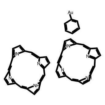 C1=Cc2cc3ccc(cc4nc(cc5ccc(cc1n2)[nH]5)C=C4)[nH]3.C1=Cc2cc3ccc(cc4nc(cc5ccc(cc1n2)[nH]5)C=C4)[nH]3.[Au][c]1ccccc1